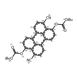 CC(C)COC(=O)Oc1ccc2c3ccc(C#N)c4c(OC(=O)OCC(C)C)ccc(c5ccc(C#N)c1c52)c43